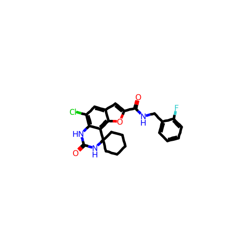 O=C1Nc2c(Cl)cc3cc(C(=O)NCc4ccccc4F)oc3c2C2(CCCCC2)N1